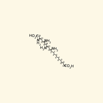 NC(CCCCCCCCCCCC(=O)O)CCC(N)CCC(N)CCC(N)CC(=O)O